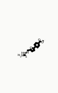 COC(=O)c1ccc(-c2ccc(/C=N/NC(N)=S)o2)cc1